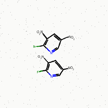 O=[N+]([O-])c1cnc(Br)c([N+](=O)[O-])c1.O=[N+]([O-])c1cnc(F)c([N+](=O)[O-])c1